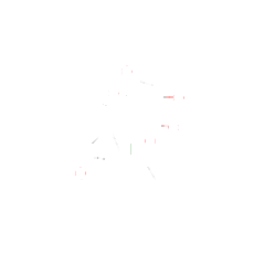 C=CCOC(=O)[C@@H]1C[C@]2([C@H](C)Cc3cc(F)c(OC)cc3F)OCOC2=CC1=O